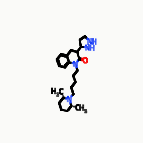 C[C@@H]1CCC[C@H](C)N1CCCCCN1C(=O)C(C2CCNN2)Cc2ccccc21